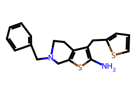 Nc1sc2c(c1Cc1cccs1)CCN(Cc1ccccc1)C2